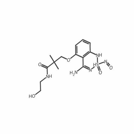 CC(C)(COc1cccc2c1C(N)=N[SH](=O)(N=O)N2)C(=O)NCCO